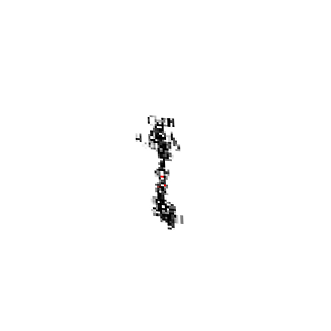 CC1(C)[C@H](Oc2ccc(C#N)c(Cl)c2)C(C)(C)[C@H]1N1Cc2nc(C#CC3CCC(N4CC5CN(c6ccc7c(c6)C(=O)N(C6CCC(=O)NC6=O)C7=O)CC5C4)CC3)ccc2C1=O